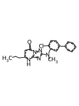 CCCc1cc(=O)n2nc(N(C)c3cc(-c4ccccc4)ccc3Cl)nc2[nH]1